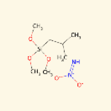 CO[Si](CC(C)C)(OC)OC.N=[N+]([O-])[O-]